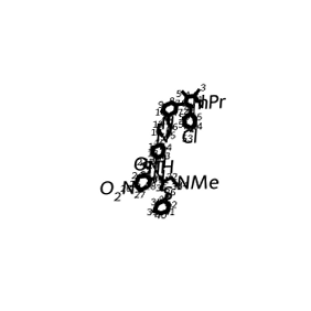 CCCn1c(C)c(C)c(-c2cccc(N3CCN(c4ccc(N[S+]([O-])c5cc([N+](=O)[O-])ccc5NC(CCNC)CSc5ccccc5)cc4)CC3)c2)c1-c1ccc(Cl)cc1